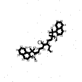 CCCC(/C=C/C1(C)N(C)c2ccc3ccccc3c2C1(C)C)=C(Cl)\C=C\C=C1\N(C)c2ccc3ccccc3c2C1(C)C